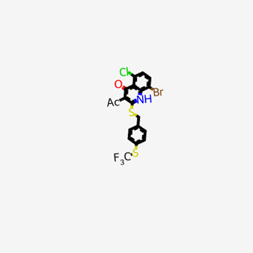 CC(=O)c1c(SCc2ccc(SC(F)(F)F)cc2)[nH]c2c(Br)ccc(Cl)c2c1=O